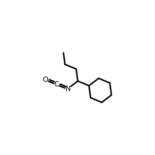 CCCC(N=C=O)C1CCCCC1